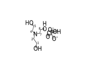 OCCN(CCO)CCO.[O-][Cl+3]([O-])([O-])O